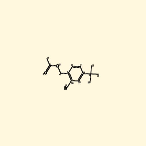 CC(=O)OCc1ccc(C(C)(C)C)cc1Br